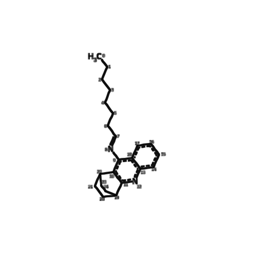 CCCCCCCC=Nc1c2c(nc3ccccc13)C1CCC2CC1